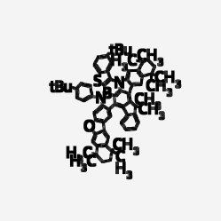 CC(C)(C)c1ccc(N2B3c4sc5ccc(C(C)(C)C)cc5c4-n4c5cc6c(cc5c5c7c(c(c3c54)-c3cc4c(cc32)oc2cc3c(cc24)C(C)(C)CCC3(C)C)-c2ccccc2C7(C)C)C(C)(C)CCC6(C)C)cc1